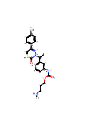 CCNCCCOC(=O)Nc1cccc(C(C)N2N=C(c3ccc(C#N)cc3)CSC2=O)c1